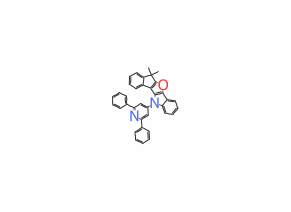 CC1(C)c2ccccc2-c2c1oc1c3ccccc3n(-c3cc(-c4ccccc4)nc(-c4ccccc4)c3)c21